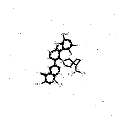 CNc1cc(F)c(F)c2c1[nH]c1ncc(-c3cnc4c(c3)c(=O)c(C(=O)O)cn4C)c(N3CCC4(CCC4N(C)C)C3)c12